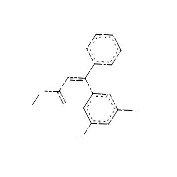 COC(=O)C=C(c1ccccc1)c1cc(N)cc(N)c1